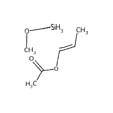 CC=COC(C)=O.CO[SiH3]